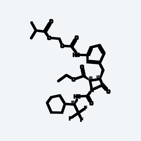 CCOC(=O)[C@@H]1[C@@H](Cc2cccc(NC(=O)OCOC(=O)C(C)C)c2)C(=O)N1C(=O)N[C@@H](C1CCCCC1)C(F)(F)F